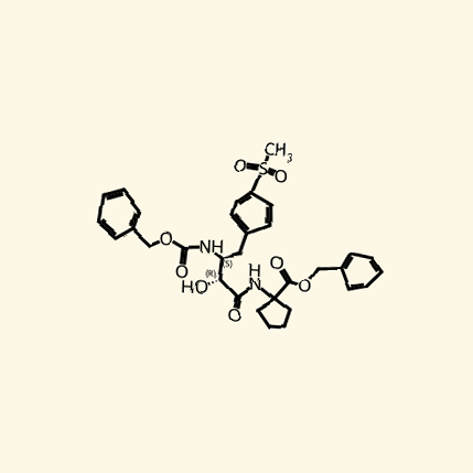 CS(=O)(=O)c1ccc(C[C@H](NC(=O)OCc2ccccc2)[C@@H](O)C(=O)NC2(C(=O)OCc3ccccc3)CCCC2)cc1